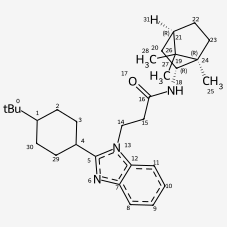 CC(C)(C)C1CCC(c2nc3ccccc3n2CCC(=O)N[C@@H]2C[C@H]3CC[C@]2(C)C3(C)C)CC1